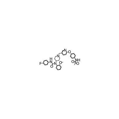 COc1ccccc1N(C(=O)Nc1ccc(F)cc1)C1CCN(Cc2ccc(Oc3ccc(NS(C)(=O)=O)cc3)nc2)CC1